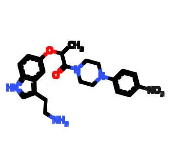 CC(Oc1ccc2[nH]cc(CCN)c2c1)C(=O)N1CCN(c2ccc([N+](=O)[O-])cc2)CC1